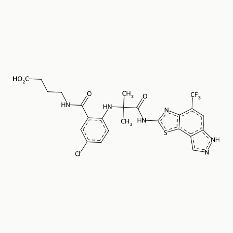 CC(C)(Nc1ccc(Cl)cc1C(=O)NCCCC(=O)O)C(=O)Nc1nc2c(C(F)(F)F)cc3[nH]ncc3c2s1